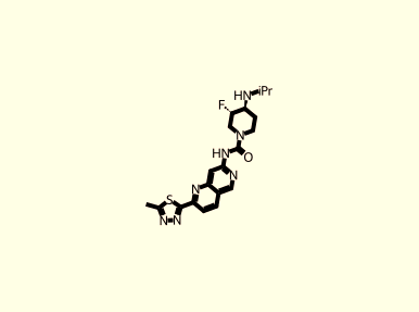 Cc1nnc(-c2ccc3cnc(NC(=O)N4CC[C@H](NC(C)C)[C@@H](F)C4)cc3n2)s1